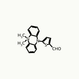 C[Si]1(C)c2ccccc2N(c2ccc(C=O)s2)c2ccccc21